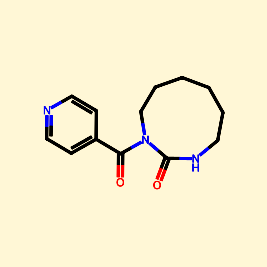 O=C1NCCCCCCN1C(=O)c1ccncc1